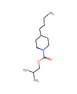 CCCCC1CCN(C(=O)OCC(C)C)CC1